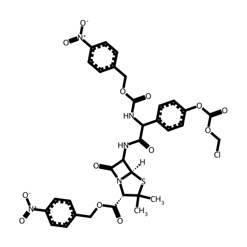 CC1(C)S[C@@H]2C(NC(=O)C(NC(=O)OCc3ccc([N+](=O)[O-])cc3)c3ccc(OC(=O)OCCl)cc3)C(=O)N2[C@H]1C(=O)OCc1ccc([N+](=O)[O-])cc1